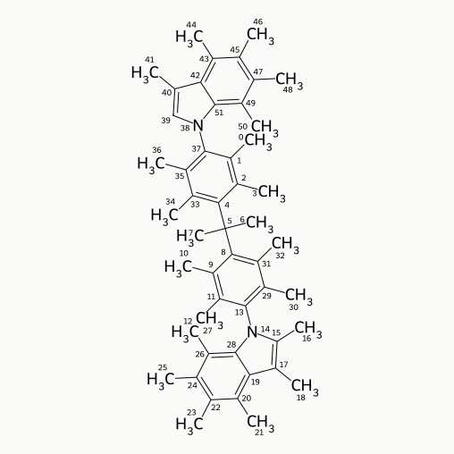 Cc1c(C)c(C(C)(C)c2c(C)c(C)c(-n3c(C)c(C)c4c(C)c(C)c(C)c(C)c43)c(C)c2C)c(C)c(C)c1-n1cc(C)c2c(C)c(C)c(C)c(C)c21